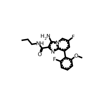 CCCNC(=O)c1nc2c(-c3c(F)cccc3OC)cc(F)cn2c1N